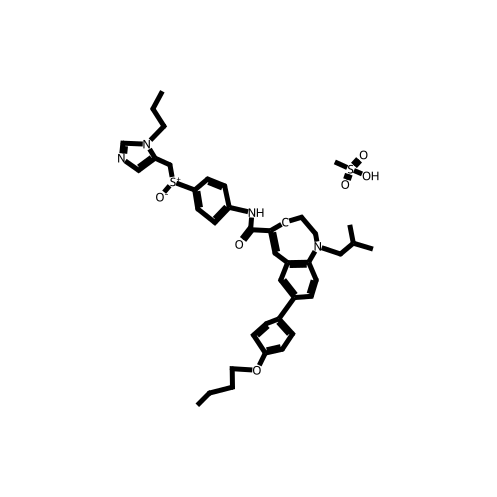 CCCCOc1ccc(-c2ccc3c(c2)/C=C(/C(=O)Nc2ccc([S+]([O-])Cc4cncn4CCC)cc2)CCCN3CC(C)C)cc1.CS(=O)(=O)O